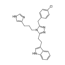 Clc1ccc(Cc2nnc(CCc3c[nH]c4ccccc34)n2CCCc2c[nH]cn2)cc1